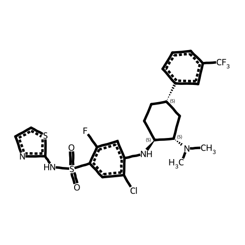 CN(C)[C@H]1C[C@@H](c2cccc(C(F)(F)F)c2)CC[C@@H]1Nc1cc(F)c(S(=O)(=O)Nc2nccs2)cc1Cl